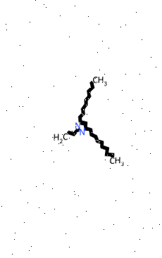 [CH2]CCc1nc(CCCCCCCCCC)cc(CCCCCCCCCC)n1